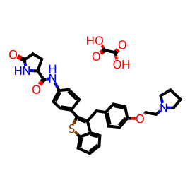 O=C(O)C(=O)O.O=C1CCC(C(=O)Nc2ccc(-c3sc4ccccc4c3Cc3ccc(OCCN4CCCC4)cc3)cc2)N1